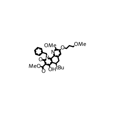 COCCCOc1cc2c(nc1OC)-c1c(c(O)c(C(=O)OC)c(=O)n1Cc1ccccc1)C(C(C)(C)C)C2